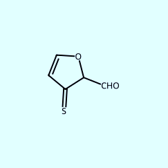 O=CC1OC=CC1=S